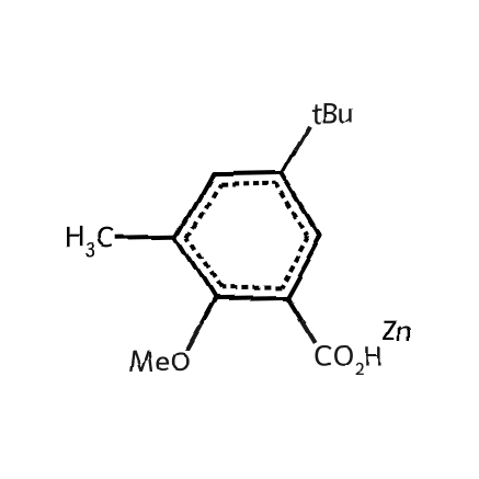 COc1c(C)cc(C(C)(C)C)cc1C(=O)O.[Zn]